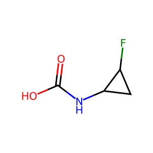 O=C(O)NC1CC1F